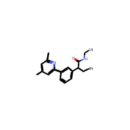 Cc1cc(C)nc(-c2cccc(C(CC(C)C)C(=O)NCC#N)c2)c1